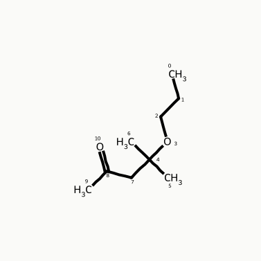 CCCOC(C)(C)CC(C)=O